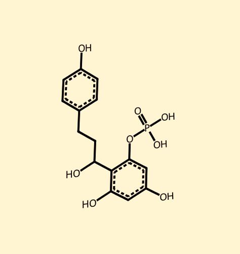 O=P(O)(O)Oc1cc(O)cc(O)c1C(O)CCc1ccc(O)cc1